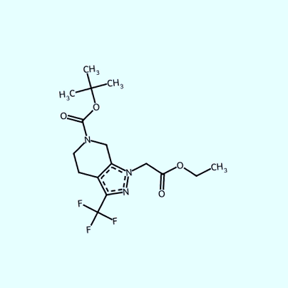 CCOC(=O)Cn1nc(C(F)(F)F)c2c1CN(C(=O)OC(C)(C)C)CC2